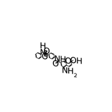 Nc1cc(C(=O)Nc2ccc(S(=O)(=O)Nc3ccccc3)cc2)ccc1/C=C\C(=O)O